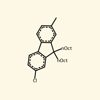 CCCCCCCCC1(CCCCCCCC)c2cc(C)ccc2-c2ccc(Cl)cc21